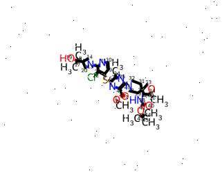 COC(=O)c1nc(Sc2ccnc(N3CC(C(C)(C)O)C3)c2Cl)c(C)nc1N1CCC2(CC1)CO[C@@H](C)[C@H]2NC(=O)OC(C)(C)C